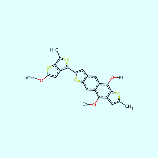 CCCCCCCCOc1cc2c(-c3cc4cc5c(OCC)c6sc(C)cc6c(OCC)c5cc4s3)sc(C)c2s1